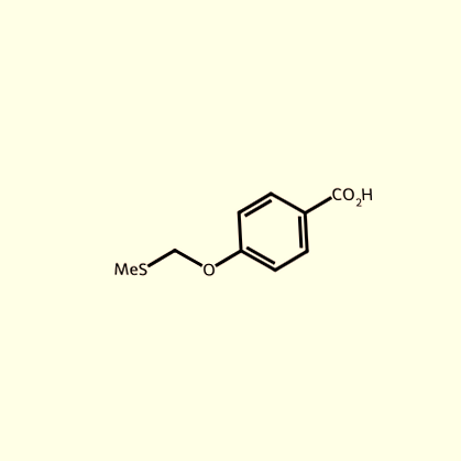 CSCOc1ccc(C(=O)O)cc1